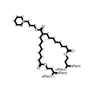 CCCCCC(CCCCC)CCOC(=O)CCCCCCCC(CCCCCCCC(=O)OCCC(CCCCC)CCCCC)C(=O)OCCCN1CCCCC1